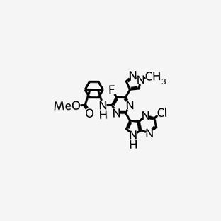 COC(=O)C1C2CCC(CC2)C1Nc1nc(-c2c[nH]c3ncc(Cl)nc23)nc(-c2cnn(C)c2)c1F